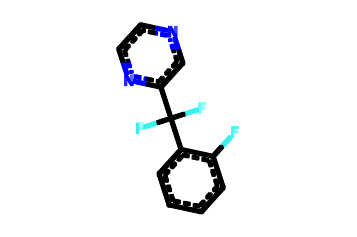 Fc1ccccc1C(F)(F)c1cnccn1